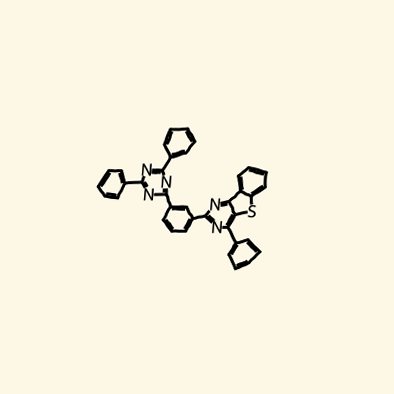 c1ccc(-c2nc(-c3ccccc3)nc(-c3cccc(-c4nc(-c5ccccc5)c5sc6ccccc6c5n4)c3)n2)cc1